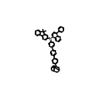 CC1(C)c2ccccc2-c2ccc(N(c3ccc(-c4ccc(-c5ccc(C67CC8CC(CC(C8)C6)C7)cc5)cc4)cc3)c3ccc(-c4ccccc4)c4ccccc34)cc21